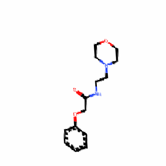 O=C(COc1c[c]ccc1)NCCN1CCOCC1